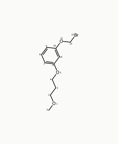 COCCCOc1cccc(OCBr)c1